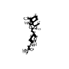 CNC(=O)CNc1ccc(/C=C/C(=O)N(C)C(C)c2c[nH]c3c(Cl)cccc23)cn1